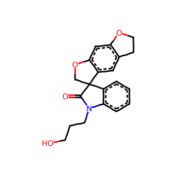 O=C1N(CCCO)c2ccccc2C12COc1cc3c(cc12)CCO3